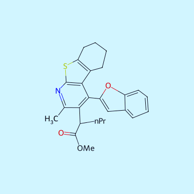 CCCC(C(=O)OC)c1c(C)nc2sc3c(c2c1-c1cc2ccccc2o1)CCCC3